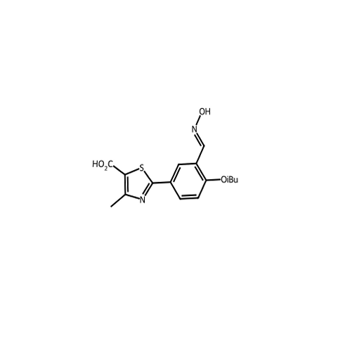 Cc1nc(-c2ccc(OCC(C)C)c(C=NO)c2)sc1C(=O)O